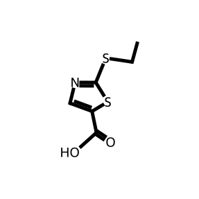 CCSc1ncc(C(=O)O)s1